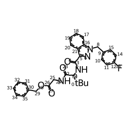 CC(C)(C)[C@H](NC(=O)c1nn(Cc2ccc(F)cc2)c2ccccc12)C(=O)NCC(=O)OCc1ccccc1